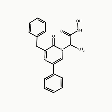 CC(C(=O)NO)n1cc(-c2ccccc2)nc(Cc2ccccc2)c1=O